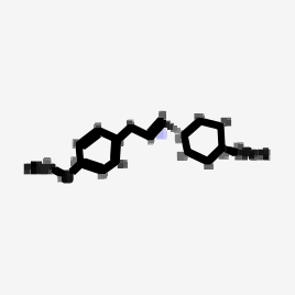 CCCCCCCCCOc1ccc([CH]/C=C/[C@H]2CC[C@H](CCCCC)CC2)cc1